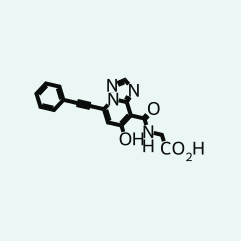 O=C(O)CNC(=O)c1c(O)cc(C#Cc2ccccc2)n2ncnc12